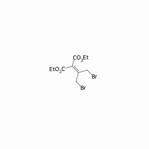 CCOC(=O)C(C(=O)OCC)=C(CBr)CBr